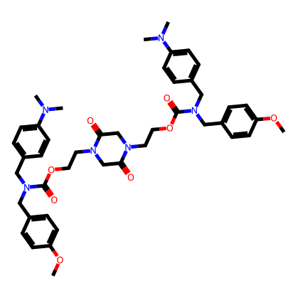 COc1ccc(CN(Cc2ccc(N(C)C)cc2)C(=O)OCCN2CC(=O)N(CCOC(=O)N(Cc3ccc(OC)cc3)Cc3ccc(N(C)C)cc3)CC2=O)cc1